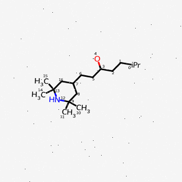 CC(C)CCC([O])CCC1CC(C)(C)NC(C)(C)C1